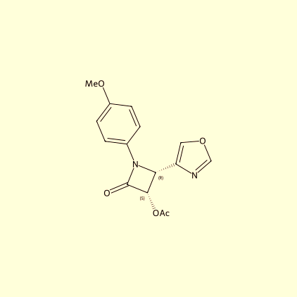 COc1ccc(N2C(=O)[C@@H](OC(C)=O)[C@H]2c2cocn2)cc1